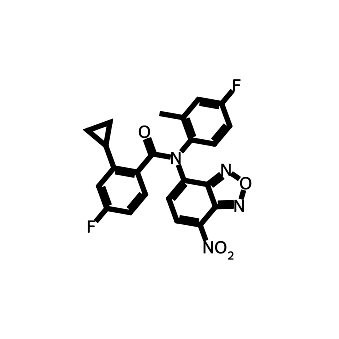 Cc1cc(F)ccc1N(C(=O)c1ccc(F)cc1C1CC1)c1ccc([N+](=O)[O-])c2nonc12